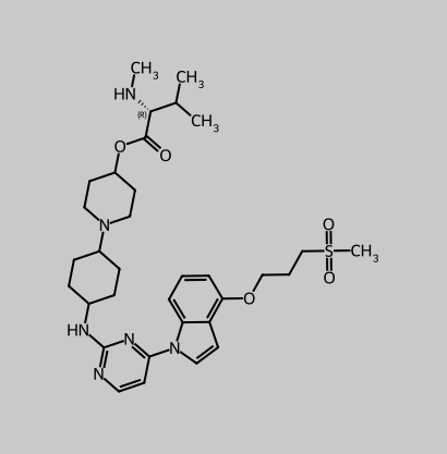 CN[C@@H](C(=O)OC1CCN(C2CCC(Nc3nccc(-n4ccc5c(OCCCS(C)(=O)=O)cccc54)n3)CC2)CC1)C(C)C